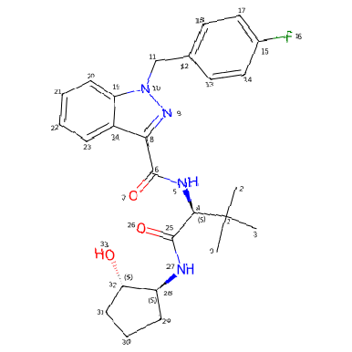 CC(C)(C)[C@H](NC(=O)c1nn(Cc2ccc(F)cc2)c2ccccc12)C(=O)N[C@H]1CCC[C@@H]1O